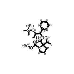 CC(O[Si](C)(C)C(C)(C)C)C(NC(O)C1(C(C)O)CCCN1C(=O)OC(C)(C)C)c1ncccn1